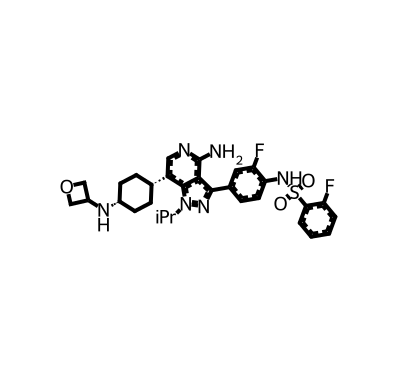 CC(C)n1nc(-c2ccc(NS(=O)(=O)c3ccccc3F)c(F)c2)c2c(N)ncc([C@H]3CC[C@@H](NC4COC4)CC3)c21